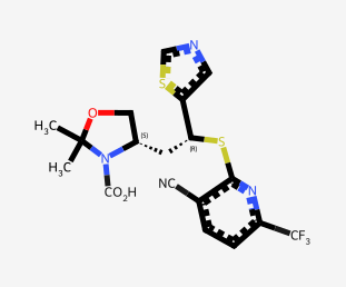 CC1(C)OC[C@H](C[C@@H](Sc2nc(C(F)(F)F)ccc2C#N)c2cncs2)N1C(=O)O